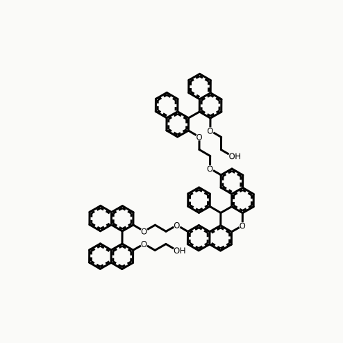 OCCOc1ccc2ccccc2c1-c1c(OCCOc2ccc3ccc4c(c3c2)C(c2ccccc2)c2c(ccc3ccc(OCCOc5ccc6ccccc6c5-c5c(OCCO)ccc6ccccc56)cc23)O4)ccc2ccccc12